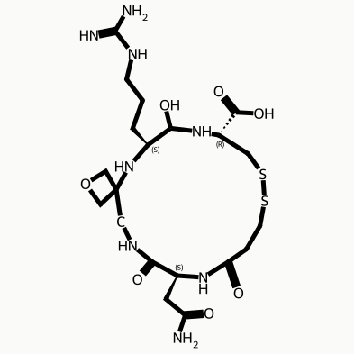 N=C(N)NCCC[C@@H]1NC2(CNC(=O)[C@H](CC(N)=O)NC(=O)CCSSC[C@@H](C(=O)O)NC1O)COC2